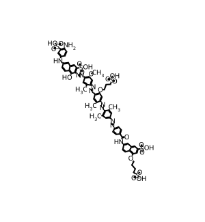 COc1cc(N=Nc2cc(C)c(N=Nc3c(C)cc(N=Nc4ccc(C(=O)Nc5ccc6c(OCCCCS(=O)(=O)O)cc(S(=O)(=O)O)cc6c5)cc4)cc3C)cc2OCCCS(=O)(=O)O)c(C)cc1N=Nc1c(S(=O)(=O)O)cc2cc(Nc3ccc(N)c(S(=O)(=O)O)c3)ccc2c1O